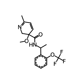 COC1(C(=O)NC(C)c2ccccc2OC(F)(F)F)C=CC(C)=NC1